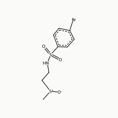 C[S+]([O-])CCNS(=O)(=O)c1ccc(Br)cc1